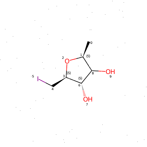 C[C@@H]1O[C@H](CI)[C@@H](O)C1O